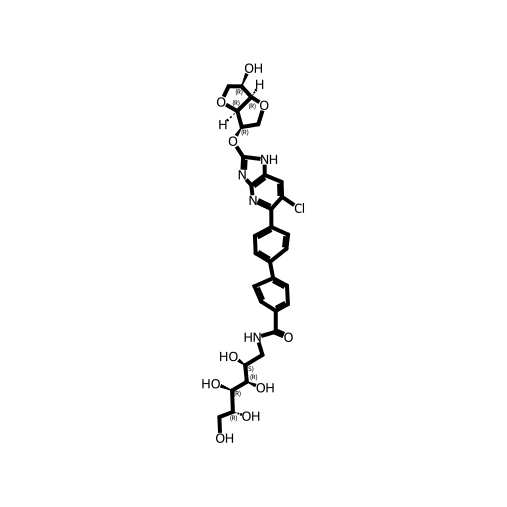 O=C(NC[C@H](O)[C@@H](O)[C@H](O)[C@H](O)CO)c1ccc(-c2ccc(-c3nc4nc(O[C@@H]5CO[C@H]6[C@@H]5OC[C@H]6O)[nH]c4cc3Cl)cc2)cc1